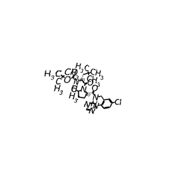 CC1CC[C@@H](C(=O)NCc2cc(Cl)ccc2-n2cncn2)N1C(=O)[C@@H](CC(C)(C)C)NC(=O)OC(C)(C)C